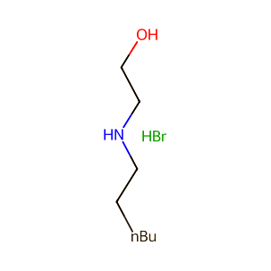 Br.CCCCCCNCCO